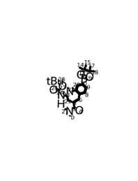 CN(C)C(=O)C1=Cc2ccc(B3OC(C)(C)C(C)(C)O3)cc2N=C(NC(=O)OC(C)(C)C)C1